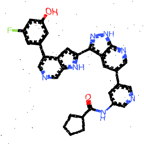 O=C(Nc1cncc(-c2cnc3[nH]nc(-c4cc5c(-c6cc(O)cc(F)c6)cncc5[nH]4)c3c2)c1)C1CCCC1